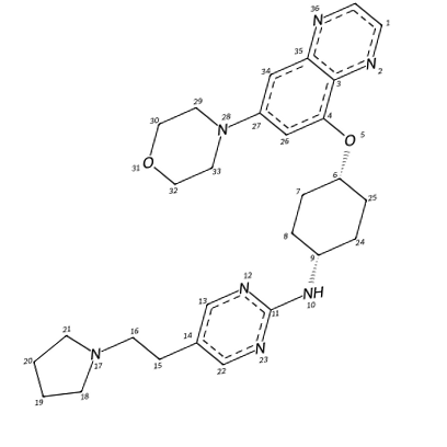 c1cnc2c(O[C@H]3CC[C@@H](Nc4ncc(CCN5CCCC5)cn4)CC3)cc(N3CCOCC3)cc2n1